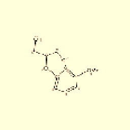 COc1cccc2c1OCC(CO)O2